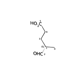 C[C@H](C=O)CCC(=O)O